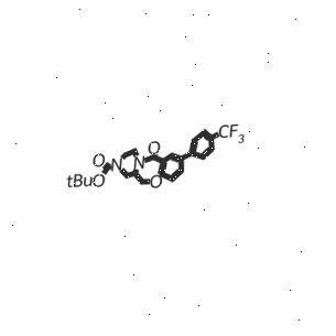 CC(C)(C)OC(=O)N1CCN2C(=O)c3cc(-c4ccc(C(F)(F)F)cc4)ccc3OCC2C1